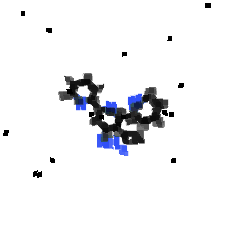 N#Cc1c(N)cc(-c2ccccn2)nc1-c1ccccn1